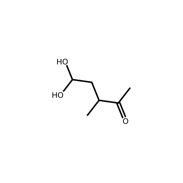 CC(=O)C(C)CC(O)O